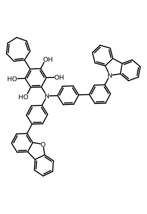 Oc1c(O)c(N(c2ccc(-c3cccc(-n4c5ccccc5c5ccccc54)c3)cc2)c2ccc(-c3cccc4c3oc3ccccc34)cc2)c(O)c(O)c1C1=CC=CCC=C1